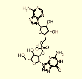 Nc1nc2c(nnn2[C@@H]2O[C@H](CO)[C@@H](O)[C@H]2OP(=O)(O)OC[C@H]2O[C@@H](n3cnc4c(N)ncnc43)[C@H](O)[C@@H]2O)c(=O)[nH]1